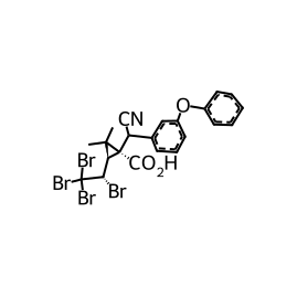 CC1(C)[C@H]([C@H](Br)C(Br)(Br)Br)[C@]1(C(=O)O)C(C#N)c1cccc(Oc2ccccc2)c1